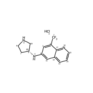 Cl.FC(F)(F)c1cc(N[C@@H]2CCNC2)cc2cccnc12